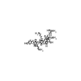 N=C(N)NCCCC(C(=O)NCCN(C(=O)CCCCCN)C(Cc1cnc[nH]1)C(=O)NCCN(C(=O)CCc1ccc(O)cc1)C(CCCCN)C(N)=O)N(CCN)C(=O)CCS